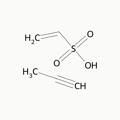 C#CC.C=CS(=O)(=O)O